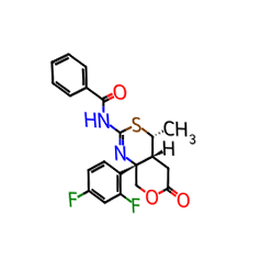 C[C@H]1SC(NC(=O)c2ccccc2)=N[C@@]2(c3ccc(F)cc3F)COC(=O)C[C@@H]12